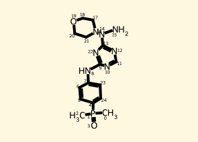 CP(C)(=O)c1ccc(Nc2ncnc(N(N)N3CCOCC3)n2)cc1